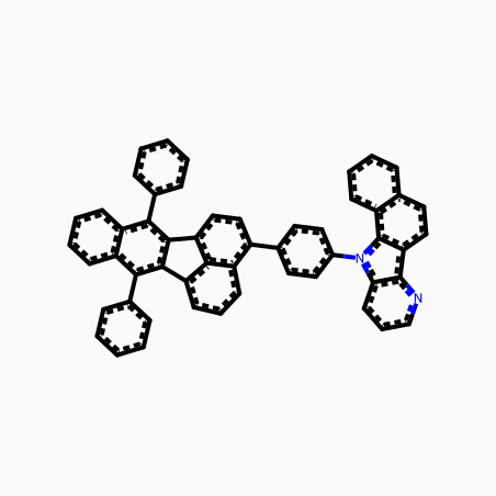 c1ccc(-c2c3c(c(-c4ccccc4)c4ccccc24)-c2ccc(-c4ccc(-n5c6cccnc6c6ccc7ccccc7c65)cc4)c4cccc-3c24)cc1